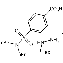 CCCCCCNN.CCCN(CCC)S(=O)(=O)c1ccc(C(=O)O)cc1